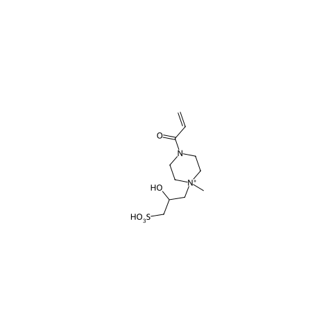 C=CC(=O)N1CC[N+](C)(CC(O)CS(=O)(=O)O)CC1